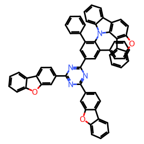 c1ccc(-c2cc(-c3nc(-c4ccc5c(c4)oc4ccccc45)nc(-c4ccc5c(c4)oc4ccccc45)n3)cc(-c3ccccc3)c2-n2c3ccccc3c3ccc4oc5ccccc5c4c32)cc1